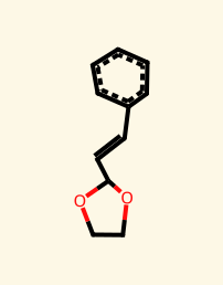 C(=C\C1OCCO1)/c1ccccc1